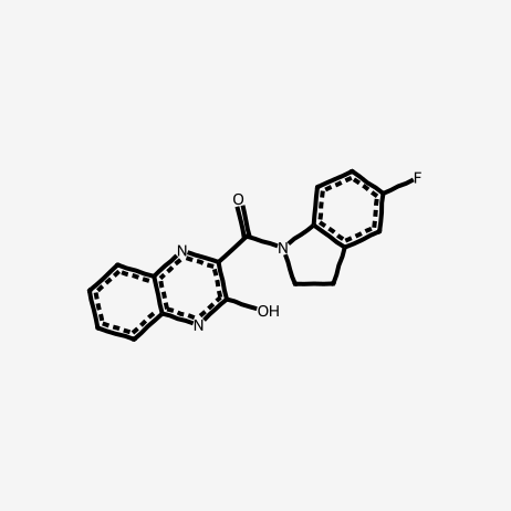 O=C(c1nc2ccccc2nc1O)N1CCc2cc(F)ccc21